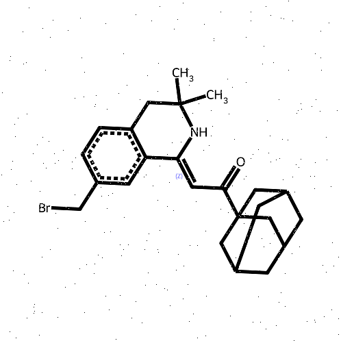 CC1(C)Cc2ccc(CBr)cc2/C(=C/C(=O)C23CC4CC(CC(C4)C2)C3)N1